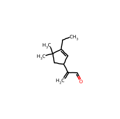 C=C(C=O)C1C=C(CC)C(C)(C)C1